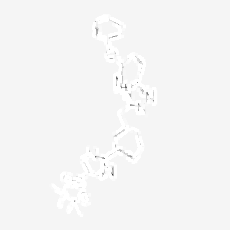 CC1(C)OB(c2cnc(-c3cccc(Cc4nnc5ccc(Oc6ccccc6)nn45)c3)nc2)OC1(C)C